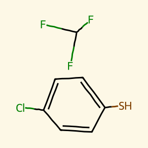 FC(F)F.Sc1ccc(Cl)cc1